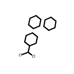 C1CCCCC1.C1CCCCC1.ClC(Cl)C1CCCCC1